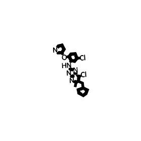 Cc1nc2nc(Nc3cc(Cl)ccc3Oc3cccnc3)nn2c(Cl)c1Cc1ccccc1